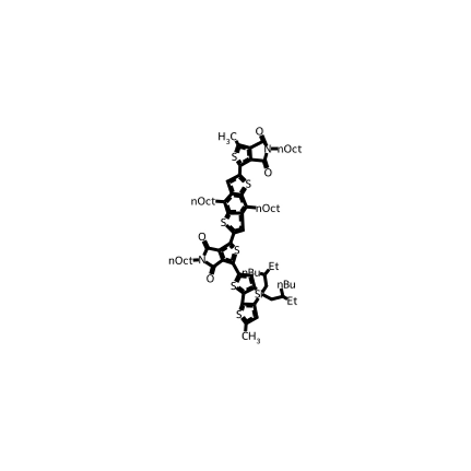 CCCCCCCCc1c2cc(-c3sc(-c4cc5c(s4)-c4sc(C)cc4[Si]5(CC(CC)CCCC)CC(CC)CCCC)c4c3C(=O)N(CCCCCCCC)C4=O)sc2c(CCCCCCCC)c2cc(-c3sc(C)c4c3C(=O)N(CCCCCCCC)C4=O)sc12